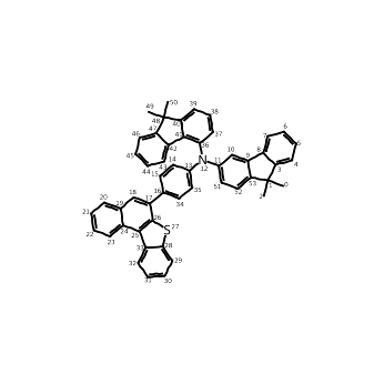 CC1(C)c2ccccc2-c2cc(N(c3ccc(-c4cc5ccccc5c5c4sc4ccccc45)cc3)c3cccc4c3-c3ccccc3C4(C)C)ccc21